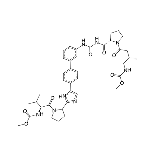 COC(=O)NC[C@@H](C)CC(=O)N1CCC[C@H]1C(=O)NC(=O)Nc1cccc(-c2ccc(-c3cnc(C4CCCN4C(=O)[C@@H](NC(=O)OC)C(C)C)[nH]3)cc2)c1